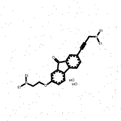 CCN(CC)CC#Cc1ccc2c(c1)C(=O)c1cc(OCCN(CC)CC)ccc1-2.Cl.Cl